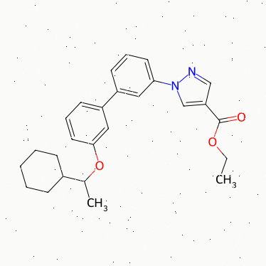 CCOC(=O)c1cnn(-c2cccc(-c3cccc(OC(C)C4CCCCC4)c3)c2)c1